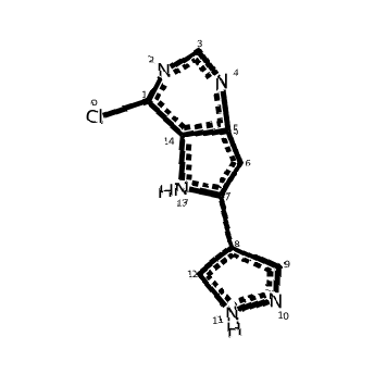 Clc1ncnc2cc(-c3cn[nH]c3)[nH]c12